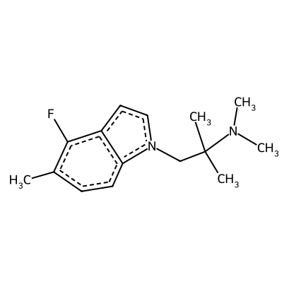 Cc1ccc2c(ccn2CC(C)(C)N(C)C)c1F